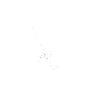 CCCCCCCCCCCCCC[C@@H](O)[C@@H](OC(C)(C)C)[C@H](COC[C@H]1COC(C)(C)O1)N=[N+]=[N-]